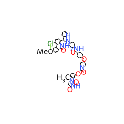 COc1ccc(C(N)=O)c(-c2cc(C(CNC3CCC(NC(=O)C4CCC(OC5CCN(C(=O)COc6ccc(C)c(N7CCC(=O)NC7=O)c6)CC5)CC4)CC3)c3ccccc3)ccc2Cl)c1F